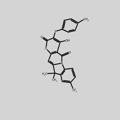 Cc1ccc(Sc2c(O)c3c(=O)n4c(cc3oc2=O)C(C)(C)c2cc(C(F)(F)F)ccc2-4)cc1